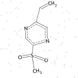 C=Cc1cnc(S(C)(=O)=O)cn1